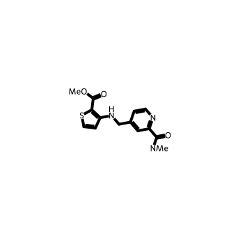 CNC(=O)c1cc(CNc2ccsc2C(=O)OC)ccn1